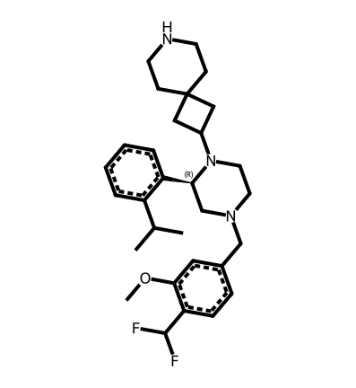 COc1cc(CN2CCN(C3CC4(CCNCC4)C3)[C@H](c3ccccc3C(C)C)C2)ccc1C(F)F